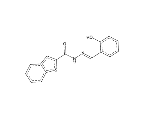 O=C(N/N=C/c1ccccc1O)c1cc2ccccc2s1